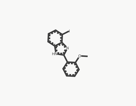 COc1ccccc1-c1nc2c(I)cccc2[nH]1